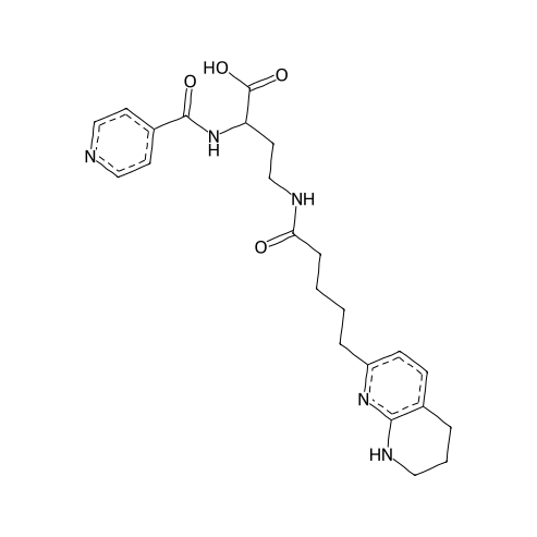 O=C(CCCCc1ccc2c(n1)NCCC2)NCCC(NC(=O)c1ccncc1)C(=O)O